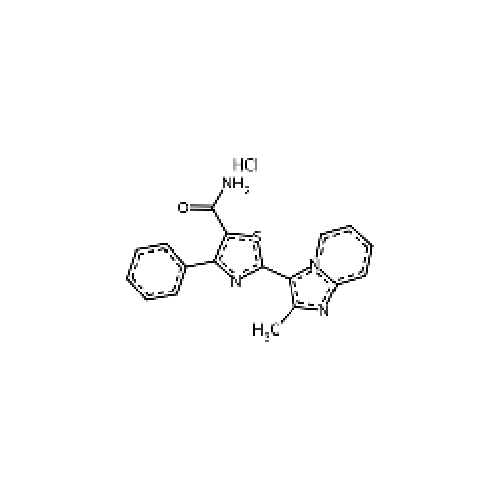 Cc1nc2ccccn2c1-c1nc(-c2ccccc2)c(C(N)=O)s1.Cl